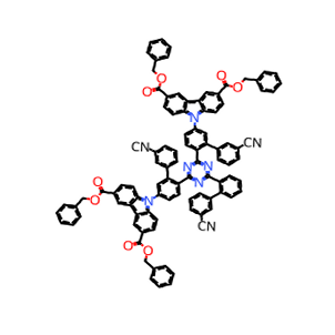 [C-]#[N+]c1cccc(-c2cc(-n3c4ccc(C(=O)OCc5ccccc5)cc4c4cc(C(=O)OCc5ccccc5)ccc43)ccc2-c2nc(-c3ccccc3-c3cccc(C#N)c3)nc(-c3ccc(-n4c5ccc(C(=O)OCc6ccccc6)cc5c5cc(C(=O)OCc6ccccc6)ccc54)cc3-c3cccc(C#N)c3)n2)c1